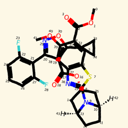 COC(=O)c1cc2sc(N3[C@@H]4CC[C@H]3C[C@H](OC(=O)c3c(-c5c(F)cccc5F)noc3C3CC3)C4)nc2cc1OC